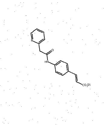 CCOC(=O)/C=C/c1ccc(NC(=O)Cc2ccccn2)cc1